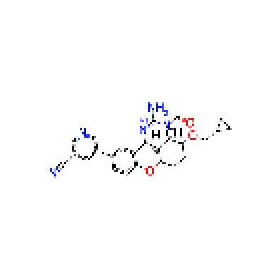 CN(C=O)/C(N)=N\C1c2cc(-c3cncc(C#N)c3)ccc2OC2CCC(OCC3CC3)C[C@@H]21